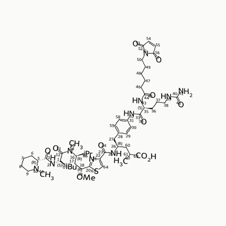 CC[C@H](C)[C@H](NC(=O)[C@H]1CCCCN1C)C(=O)N(C)[C@H](C[C@@H](OC)c1nc(C(=O)N[C@@H](Cc2ccc(NC(=O)[C@H](CCCNC(N)=O)NC(=O)CCCCCN3C(=O)C=CC3=O)cc2)CC(C)C(=O)O)cs1)C(C)C